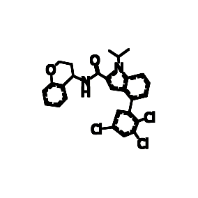 CC(C)n1c(C(=O)NC2CCOc3ccccc32)cc2c(-c3cc(Cl)cc(Cl)c3Cl)cccc21